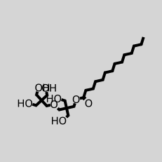 CCCCCCCCCCCCCC(=O)OCC(CO)(CO)COCC(CO)(CO)CO